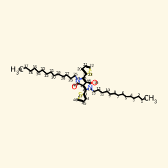 CCCCCCCCCCCCCCN1C(=O)C2=C(c3cccs3)N(CCCCCCCCCCCCCC)C(=O)C2=C1c1cccs1